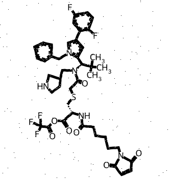 CC(C)(C)[C@H](c1cc(-c2cc(F)ccc2F)cn1Cc1ccccc1)N(CC1CCNC1)C(=O)CSC[C@H](NC(=O)CCCCCN1C(=O)C=CC1=O)C(=O)OC(=O)C(F)(F)F